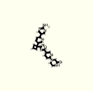 Nc1ncc(-c2ccc(C3(c4noc(-c5ccc(N6CCNC(=O)C6)nc5)n4)CCC3)cn2)cn1